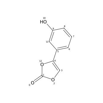 O=c1occ(-c2cccc(O)c2)o1